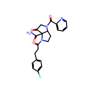 NC(=O)C12C(=O)CN(C(=O)c3ccccn3)C1CCN2C(=O)[CH]Cc1ccc(F)cc1